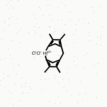 CC1=C2CC3=C(C)C(C)=[C](C3)[Hf+2][C](=C1C)C2.[Cl-].[Cl-]